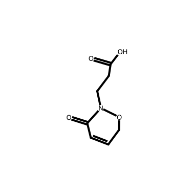 O=C(O)CCN1OCC=CC1=O